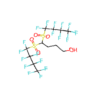 O=S(=O)(C(CCCO)S(=O)(=O)C(F)(F)C(F)(F)C(F)(F)C(F)(F)F)C(F)(F)C(F)(F)C(F)(F)C(F)(F)F